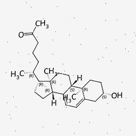 CC(=O)CCC[C@@H](C)[C@H]1CC[C@H]2C3=CC=C4C[C@@H](O)CC[C@]4(C)[C@H]3CC[C@]12C